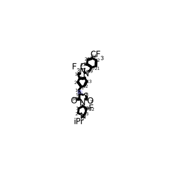 CC(C)N1CC[C@@H](N2C(=O)S/C(=C\c3ccc4c(cnn4Cc4ccc(C(F)(F)F)cc4C(F)(F)F)c3)C2=O)[C@H](F)C1